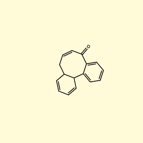 O=C1/C=C\CC2C=CC=CC2c2ccccc21